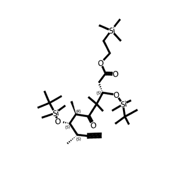 C#C[C@H](C)[C@H](O[Si](C)(C)C(C)(C)C)[C@@H](C)C(=O)C(C)(C)[C@H](CC(=O)OCC[Si](C)(C)C)O[Si](C)(C)C(C)(C)C